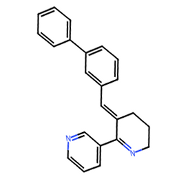 C(=C1CCCN=C1c1cccnc1)c1cccc(-c2ccccc2)c1